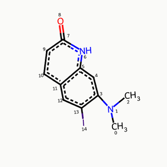 CN(C)c1cc2[nH]c(=O)ccc2cc1I